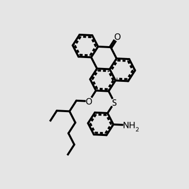 CCCCC(CC)COc1cc2c3c(cccc3c1Sc1ccccc1N)C(=O)c1ccccc1-2